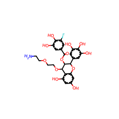 NCCOCCOC1c2c(O)cc(O)cc2OC(c2cc(O)c(O)c(O)c2)C1OC(=O)c1cc(O)c(O)c(F)c1